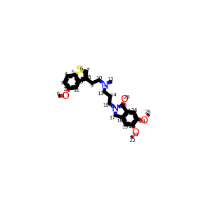 COc1ccc2scc(CCN(C)CCCN3Cc4cc(OC)c(OC)cc4C3=O)c2c1